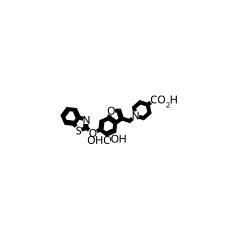 O=C(O)C1CCN(Cc2coc3cc(Oc4nc5ccccc5s4)ccc23)CC1.O=CO